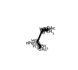 CCCCCCCCCC(OC(=O)CCCCCCCC=CCC(O)C(CCCCC)OC(=O)C[N+](C)(C)CCOC(C)=O)OC(=O)C[N+](C)(C)CCOC(C)=O